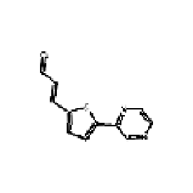 O=CC=Cc1ccc(-c2cnccn2)s1